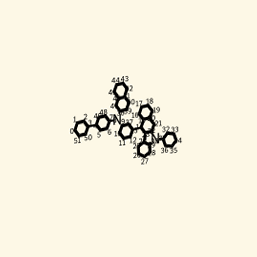 c1ccc(-c2ccc(N(c3cccc(-c4c5ccccc5cc5c4c4ccccc4n5-c4ccccc4)c3)c3ccc4ccccc4c3)cc2)cc1